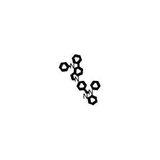 c1ccc(-n2c(-c3ccc(-n4ccc5c4ccc4c6ccccc6n(-c6ccccc6)c45)cc3)nc3ccccc32)cc1